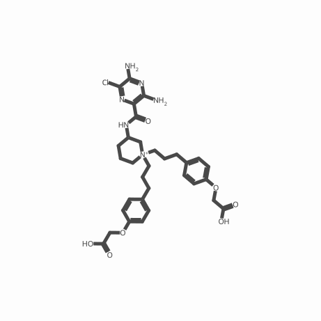 Nc1nc(N)c(C(=O)NC2CCC[N+](CCCc3ccc(OCC(=O)O)cc3)(CCCc3ccc(OCC(=O)O)cc3)C2)nc1Cl